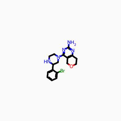 Nc1nc2c(c(N3CCNC(c4ccccc4Br)C3)n1)COCC2